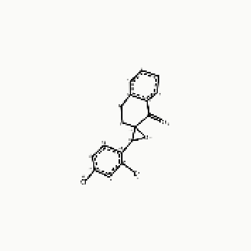 O=C1c2ccccc2CCC12OC2c1ccc(Cl)cc1Br